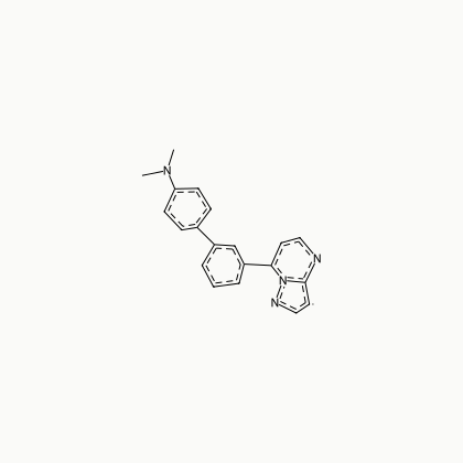 CN(C)c1ccc(-c2cccc(-c3ccnc4[c]cnn34)c2)cc1